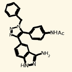 CC(=O)Nc1ccc(-c2c(-c3ccc4[nH]nc(N)c4c3)nnn2Cc2ccccc2)cc1